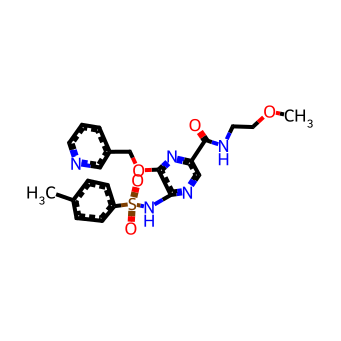 COCCNC(=O)c1cnc(NS(=O)(=O)c2ccc(C)cc2)c(OCc2cccnc2)n1